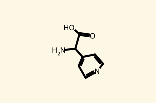 NC(C(=O)O)c1ccncc1